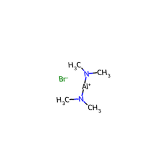 C[N](C)[Al+][N](C)C.[Br-]